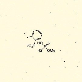 COP(O)(=S)S.Cc1ccccc1S(=O)(=O)O